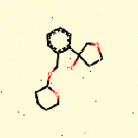 OC1(c2ccccc2COC2CCCCO2)CCOC1